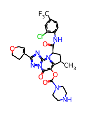 C[C@@H]1C[C@H](C(=O)Nc2ccc(C(F)(F)F)cc2Cl)n2c1c(OC(=O)N1CCNCC1)c(=O)n1nc(C3=CCOCC3)nc21